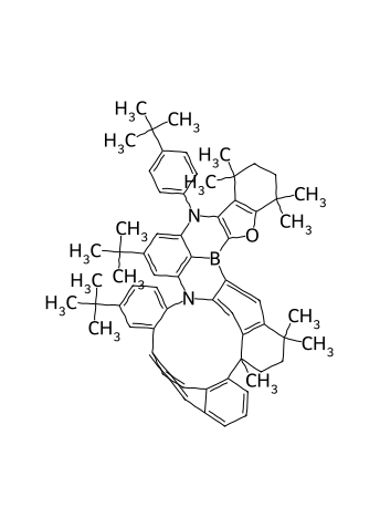 CC(C)(C)c1ccc(N2c3cc(C(C)(C)C)cc4c3B(c3cc5c6cc3N4c3ccc(C(C)(C)C)cc3-c3ccc4c(cccc4c3)C6(C)CCC5(C)C)c3oc4c(c32)C(C)(C)CCC4(C)C)cc1